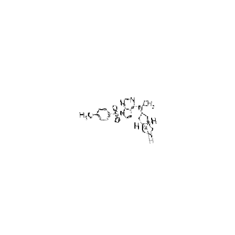 Cc1ccc(S(=O)(=O)n2ccc3c(N(C)C4C[C@H]5CNC[C@H]5C4)ncnc32)cc1